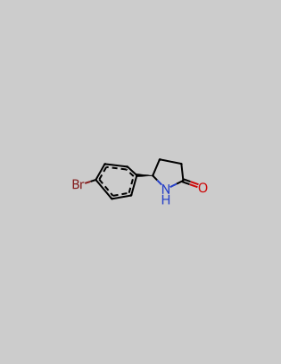 O=C1CC[C@H](c2ccc(Br)cc2)N1